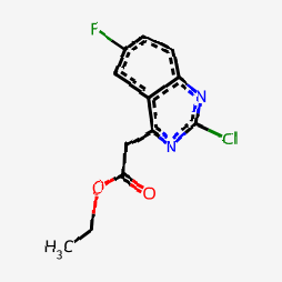 CCOC(=O)Cc1nc(Cl)nc2ccc(F)cc12